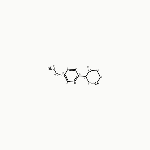 CCCCOc1ccc(C2COCCO2)cc1